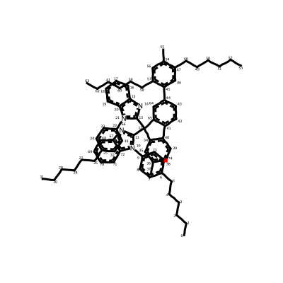 CCCCCCc1ccc(-n2c(C3(c4nc5ccccc5n4-c4ccc(CCCCCC)cc4)c4cc(C)ccc4-c4ccc(-c5cc(CCCCCC)c(C)cc5CCCCCC)cc43)nc3ccccc32)cc1